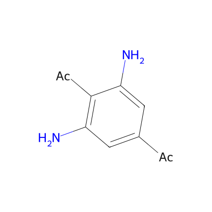 CC(=O)c1cc(N)c(C(C)=O)c(N)c1